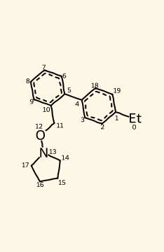 CCc1ccc(-c2ccccc2CON2CCCC2)cc1